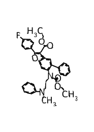 CCOC(=O)c1c(-c2ccc(F)cc2)oc2cc(N(CCN(C)c3ccccc3)C(=O)OCC)c(-c3ccccc3)cc12